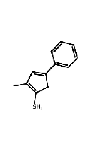 CC1=C([SiH3])CC(c2ccccc2)=C1